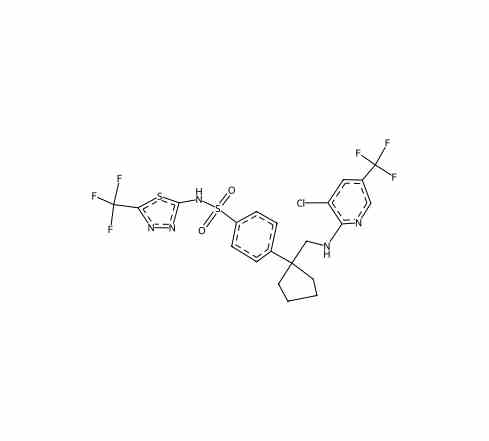 O=S(=O)(Nc1nnc(C(F)(F)F)s1)c1ccc(C2(CNc3ncc(C(F)(F)F)cc3Cl)CCCC2)cc1